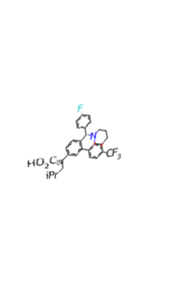 CC(C)C[C@H](C(=O)O)c1ccc(C(c2ccc(F)cc2)N2CCCCC2)c(-c2ccc(C(F)(F)F)cc2)c1